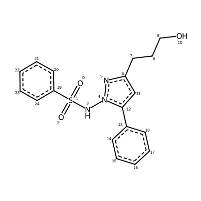 O=S(=O)(Nn1nc(CCCO)cc1-c1ccccc1)c1ccccc1